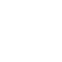 C=C/C=C1\C(=C/C)CC1C